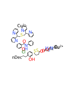 CC(=O)[O-].CC(=O)[O-].CCC(C)N.CCCCCCCCCCCCc1ccccc1O.O=C(Nc1ccccc1)c1ccccc1OCl.O=C1CCCSS1.[Cu+2].[Cu+2].c1ccc(C(CSCC(c2ccccn2)c2ccccn2)c2ccccn2)nc1